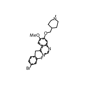 COc1cc2c(Cc3ccc(Br)cc3F)ncnc2cc1OCC1CCN(C)CC1